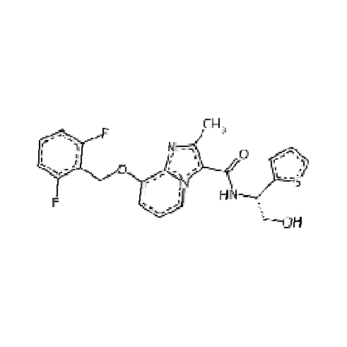 Cc1nc2c(OCc3c(F)cccc3F)cccn2c1C(=O)N[C@@H](CO)c1cccs1